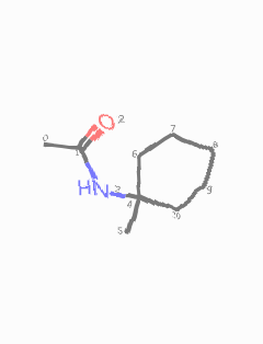 CC(=O)NC1(C)CCCCC1